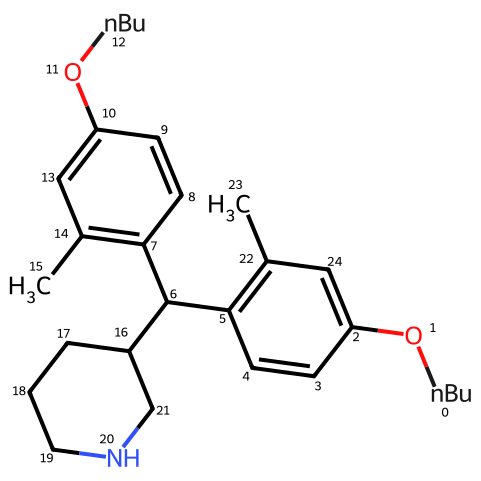 CCCCOc1ccc(C(c2ccc(OCCCC)cc2C)C2CCCNC2)c(C)c1